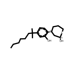 CCCCCCC(C)(C)c1ccc([C@H]2CCCC[C@@H](O)C2)c(O)c1